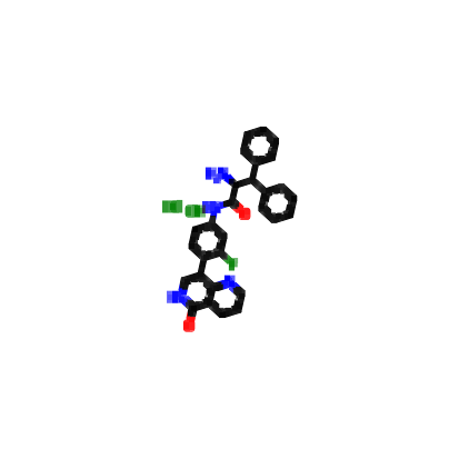 Cl.Cl.N[C@H](C(=O)Nc1ccc(-c2c[nH]c(=O)c3cccnc23)c(F)c1)C(c1ccccc1)c1ccccc1